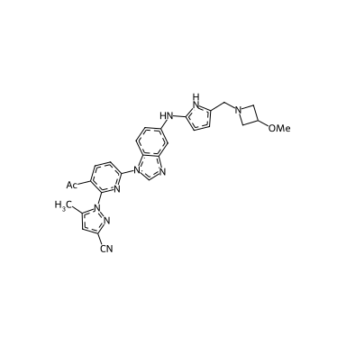 COC1CN(Cc2ccc(Nc3ccc4c(c3)ncn4-c3ccc(C(C)=O)c(-n4nc(C#N)cc4C)n3)[nH]2)C1